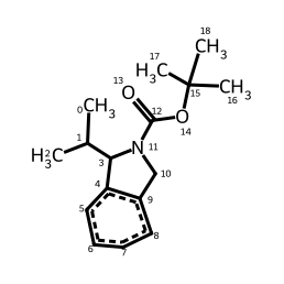 CC(C)C1c2ccccc2CN1C(=O)OC(C)(C)C